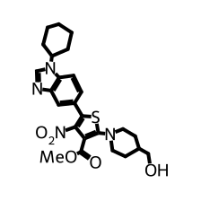 COC(=O)c1c(N2CCC(CO)CC2)sc(-c2ccc3c(c2)ncn3C2CCCCC2)c1[N+](=O)[O-]